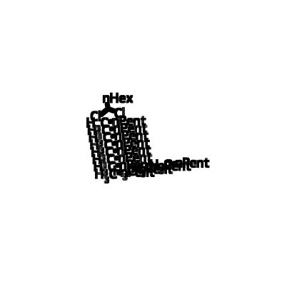 CCCCCC.CCCCCC.CCCCCC.CCCCCC.CCCCCC.CCCCCC.CCCCCC.CCCCCC.CCCCCC.CCCCCC.CCCCCC.CCCCCCC(Cl)Cl